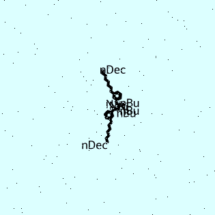 CCCCCCCCCCCCCCCCCc1cccc(C2=CC(CCCC)=C(c3cccc(CCCCCCCCCCCCCCCCC)c3)[N+]2=[N-])c1.CCC[CH2][Ni][CH2]CCC